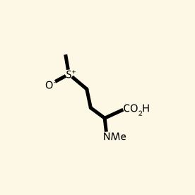 CNC(CC[S+](C)[O-])C(=O)O